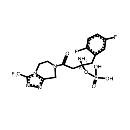 N[C@@](CC(=O)N1CCn2c(nnc2C(F)(F)F)C1)(Cc1cc(F)ccc1F)OP(=O)(O)O